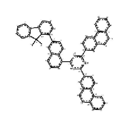 CC1(C)c2ccccc2-c2cccc(-c3ccc4c(-c5nc(-c6ccc7c(ccc8ccccc87)c6)nc(-c6ccc7c(ccc8ccccc87)c6)n5)cccc4c3)c21